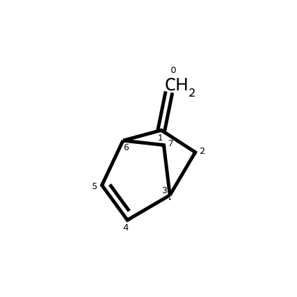 C=C1C[C]2C=CC1C2